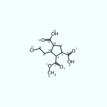 COC(=O)C1C(C(=O)O)CC(C(=O)O)C1CCCl